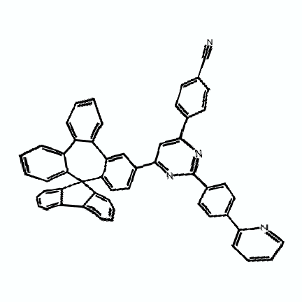 N#Cc1ccc(-c2cc(-c3ccc4c(c3)-c3ccccc3-c3ccccc3C43c4ccccc4-c4ccccc43)nc(-c3ccc(-c4ccccn4)cc3)n2)cc1